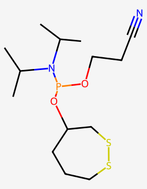 CC(C)N(C(C)C)P(OCCC#N)OC1CCCSSC1